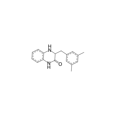 Cc1cc(C)cc(CC2Nc3ccccc3NC2=O)c1